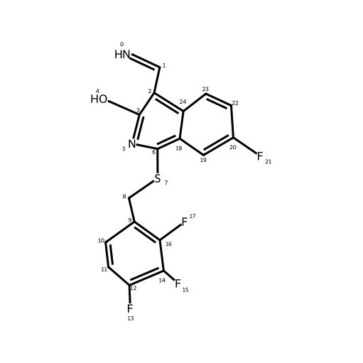 N=Cc1c(O)nc(SCc2ccc(F)c(F)c2F)c2cc(F)ccc12